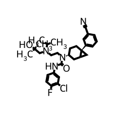 CC(C)N(CCN(C(=O)Nc1ccc(F)c(Cl)c1)[C@@H]1CC[C@]2(c3cccc(C#N)c3)CC2C1)CC(C)(C)O